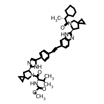 COC(=O)N[C@H](C(=O)N1CC2(CC2)C[C@H]1c1ncc(-c2ccc(C#Cc3ccc4nc([C@@H]5CC6(CC6)CN5C(=O)[C@H](C)C5CCCCC5)[nH]c4c3)cc2)[nH]1)C(C)C